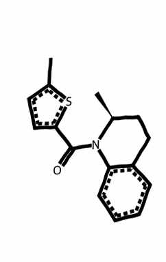 Cc1ccc(C(=O)N2c3ccccc3CC[C@@H]2C)s1